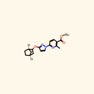 Cc1nc(-n2ccc(OC3C[C@H]4CC[C@@H]3C4)n2)ccc1C(=O)OC(C)(C)C